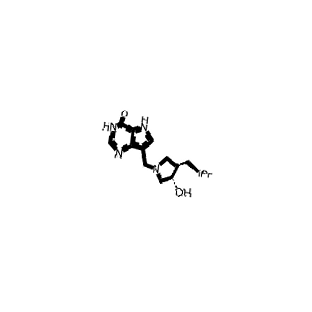 CC(C)C[C@@H]1CN(Cc2c[nH]c3c(=O)[nH]cnc23)C[C@H]1O